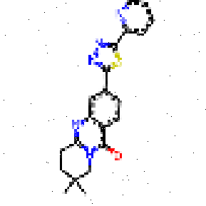 CC1(C)CCc2nc3cc(-c4nnc(-c5ccccn5)s4)ccc3c(=O)n2C1